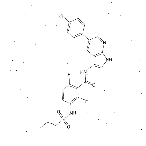 CCCS(=O)(=O)Nc1ccc(F)c(C(=O)Nc2c[nH]c3ncc(-c4ccc(Cl)cc4)cc23)c1F